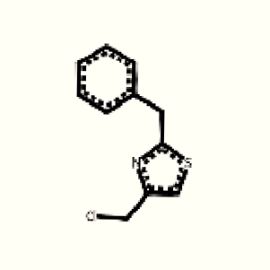 ClCc1csc(Cc2ccccc2)n1